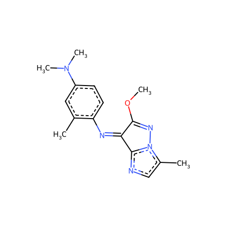 COC1=Nn2c(C)cnc2C1=Nc1ccc(N(C)C)cc1C